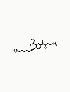 COC(=O)c1cc(NC(=O)CCN)ccc1C#CCCCCCN